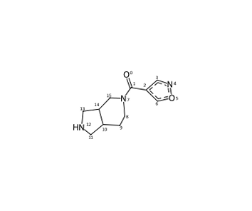 O=C(c1cnoc1)N1CCC2CNCC2C1